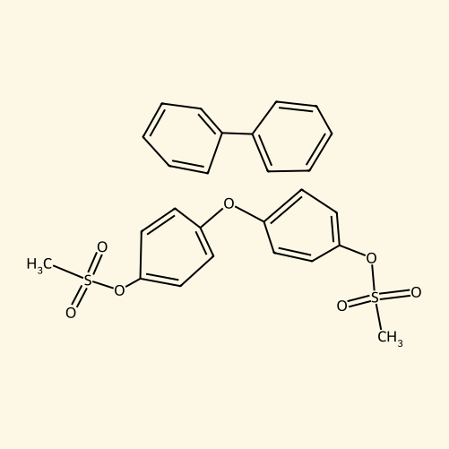 CS(=O)(=O)Oc1ccc(Oc2ccc(OS(C)(=O)=O)cc2)cc1.c1ccc(-c2ccccc2)cc1